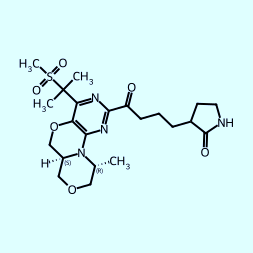 C[C@@H]1COC[C@H]2COc3c(nc(C(=O)CCCC4CCNC4=O)nc3C(C)(C)S(C)(=O)=O)N21